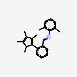 CC1=C(C)C(C)C(c2ccccc2/C=N/c2c(C)cccc2C)=C1C